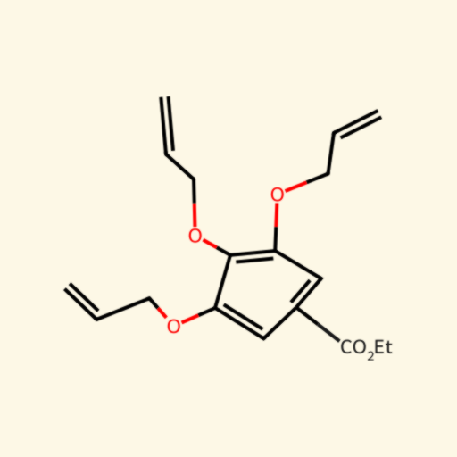 C=CCOc1cc(C(=O)OCC)cc(OCC=C)c1OCC=C